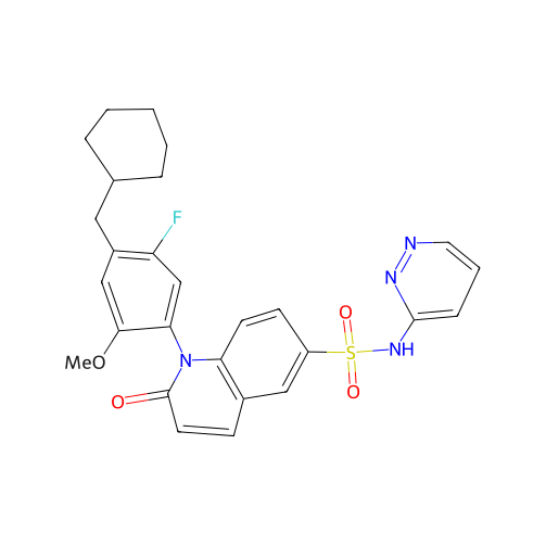 COc1cc(CC2CCCCC2)c(F)cc1-n1c(=O)ccc2cc(S(=O)(=O)Nc3cccnn3)ccc21